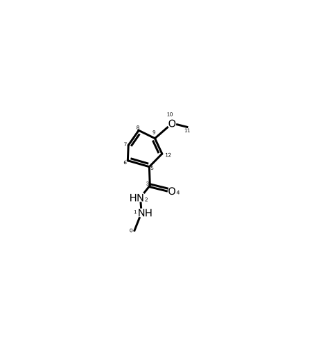 CNNC(=O)c1cccc(OC)c1